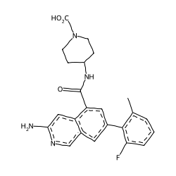 Cc1cccc(F)c1-c1cc(C(=O)NC2CCN(C(=O)O)CC2)c2cc(N)ncc2c1